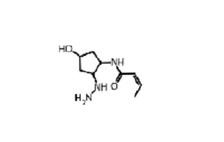 C/C=C\C(=O)NC1CC(O)CC1NN